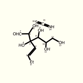 CCC=CC(O)(C(O)C=O)C(O)C(O)CO.N=C=S